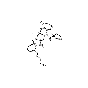 C[C@@H]1CO[C@H](O[C@@H]2[C@@H](O)[C@H](O[C@@H]3CCC=C(CNCCO)O3)[C@@H](N)C[C@H]2NC(=O)C2(O)CCNC2)[C@H](O)C1